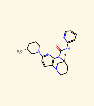 O=C(Nc1ccccn1)N1c2nc(N3CCC[C@@H](C(F)(F)F)C3)ccc2N2CCC[C@H]1C2